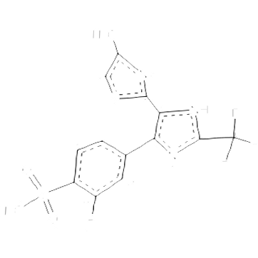 Cc1csc(-c2[nH]c(C(F)(F)F)nc2-c2ccc(S(C)(=O)=O)c(F)c2)n1